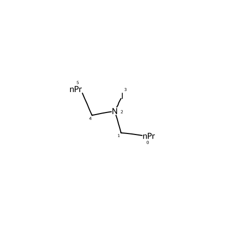 CCCCN(I)CCCC